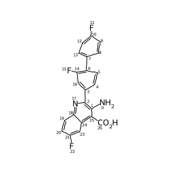 Nc1c(-c2ccc(-c3ccc(F)cc3)c(F)c2)nc2ccc(F)cc2c1C(=O)O